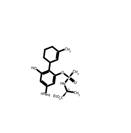 CCCCCc1cc(O)c(C2C=C(C)CCC2)c(OP(C)(=O)N[C@@H](C)C(=O)OCC)c1